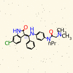 CCCN(C(=O)CN(C)C)c1ccc(N/C(=C2\C(=O)Nc3cc(Cl)ccc32)c2ccccc2)cc1